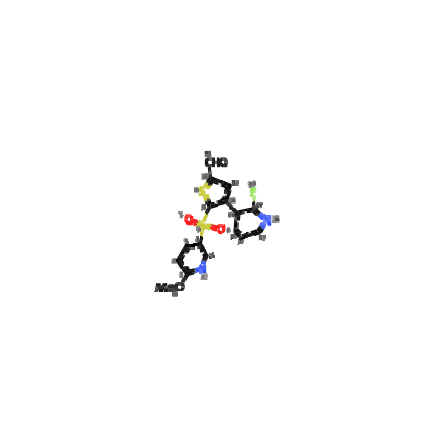 COc1ccc(S(=O)(=O)c2sc(C=O)cc2-c2cccnc2F)cn1